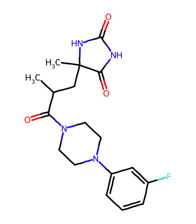 CC(CC1(C)NC(=O)NC1=O)C(=O)N1CCN(c2cccc(F)c2)CC1